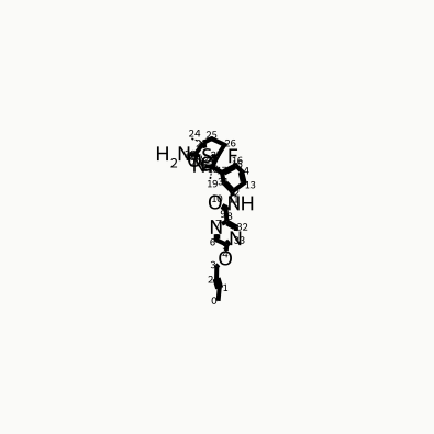 CC#CCOc1cnc(C(=O)Nc2ccc(F)c([C@@]3(C)N=C(N)[C@@]4(C)CCC3S4(=O)=O)c2)cn1